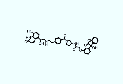 O=C(COc1cccc(C(O)(C(=O)O)c2ccccc2)c1)N[C@@H]1CCN(C(=O)c2ccc(CCNCC(O)c3ccc(O)c4[nH]c(=O)ccc34)cc2)C1